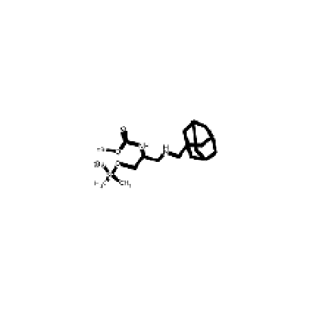 CC(C)(C)OC(=O)NC(CNCC12CC3CC(CC(C3)C1)C2)CO[Si](C)(C)C(C)(C)C